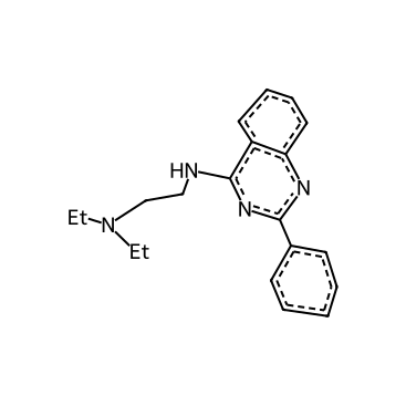 CCN(CC)CCNc1nc(-c2ccccc2)nc2ccccc12